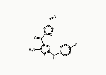 Nc1nc(Nc2ccc(F)cc2)sc1C(=O)c1cc(C=O)no1